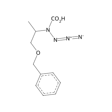 CC(COCc1ccccc1)N(N=[N+]=[N-])C(=O)O